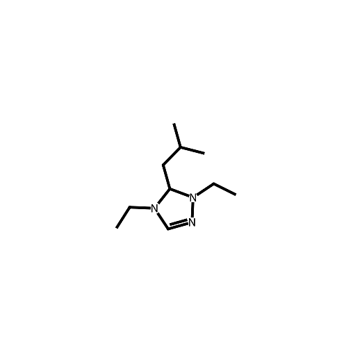 CCN1C=NN(CC)C1CC(C)C